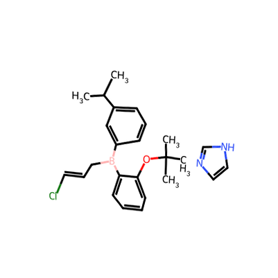 CC(C)c1cccc(B(CC=CCl)c2ccccc2OC(C)(C)C)c1.c1c[nH]cn1